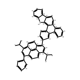 CC(C)c1cc(-c2ccccc2)c2ccc3c(C(C)C)cc(-c4ccc5c(c4)c4ccccc4c4ccc6c7ccccc7sc6c45)c4ccc1c2c43